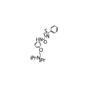 CC(C)N(CCOc1cccc(NC(=O)c2csc(-c3ccccc3)n2)c1)C(C)C